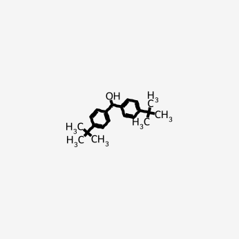 CC(C)(C)c1ccc([C](O)c2ccc(C(C)(C)C)cc2)cc1